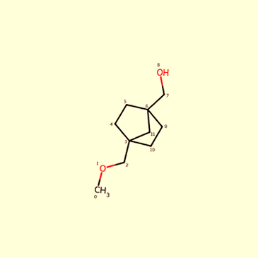 COCC12CCC(CO)(CC1)C2